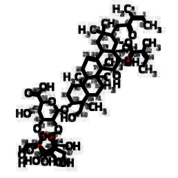 C/C=C(/C)C(=O)C[C@H]1[C@H](OC(=O)/C(C)=C\C)[C@@]2(CO)C(CC1(C)C)C1=CCC3[C@@]4(C)CC[C@H](O[C@@H]5OC(C(=O)O)[C@@H](O)C(OC6OC(CO)C(O)C6O)[C@@H]5O[C@@H]5OC(CO)[C@@H](O)C(O)[C@@H]5O)[C@](C)(CO)C4CC[C@@]3(C)[C@]1(C)[C@@H](O)[C@H]2O